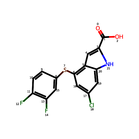 O=C(O)c1cc2c(Sc3ccc(F)c(F)c3)cc(Cl)cc2[nH]1